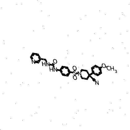 COc1ccc(C2(C#N)CCN(S(=O)(=O)c3ccc(NC(=O)NCc4cccnc4)cc3)CC2)cc1